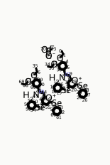 CCOc1ccc(/C(N)=C/c2cc([Se]c3ccccc3)cc([Se]c3ccccc3)[o+]2)cc1OCC.CCOc1ccc(/C(N)=C/c2cc([Se]c3ccccc3)cc([Se]c3ccccc3)[o+]2)cc1OCC.[O-]B([O-])F